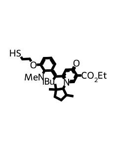 CCOC(=O)c1cn(C2C(C)CCC2(C)C)c(/C(=C2\C=CC=C(OCCS)C2NC)C(C)CC)cc1=O